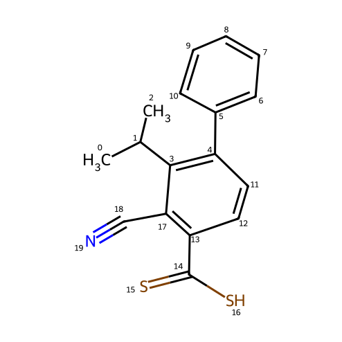 CC(C)c1c(-c2ccccc2)ccc(C(=S)S)c1C#N